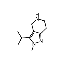 CC(C)c1c2c(nn1C)CCNC2